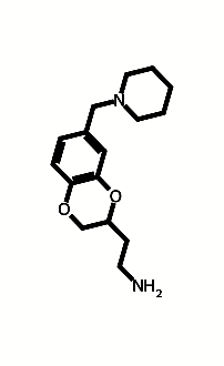 NCCC1COc2ccc(CN3CCCCC3)cc2O1